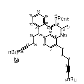 CCCCC#CCCCc1ccccc1N=C(C)C(CCCCC)=Nc1ccccc1CCCC#CCCCC.[Ni]